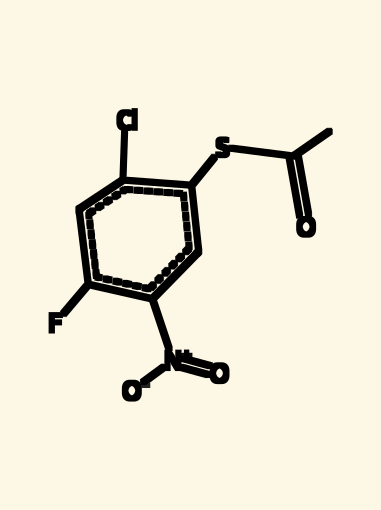 CC(=O)Sc1cc([N+](=O)[O-])c(F)cc1Cl